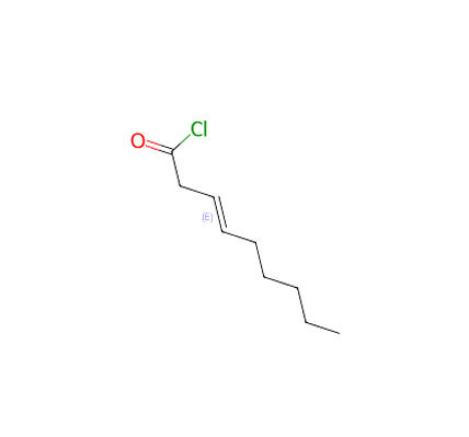 CCCCC/C=C/CC(=O)Cl